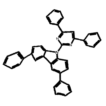 c1ccc(-c2ccc3c(c2)c2cc(-c4ccccc4)ccc2n3-c2nc(-c3ccccc3)cc(-c3ccccc3)n2)cc1